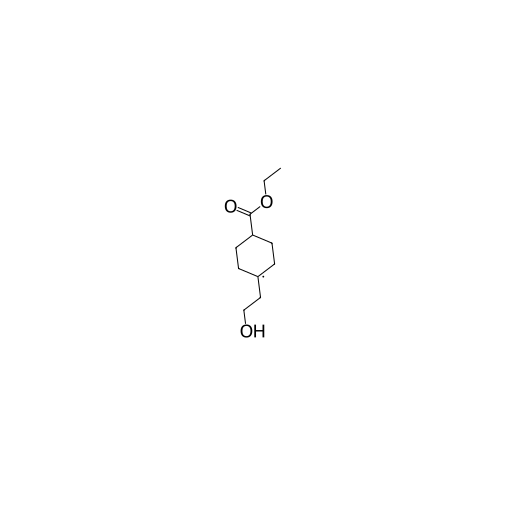 CCOC(=O)C1CC[C](CCO)CC1